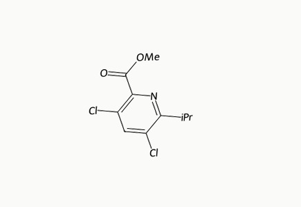 COC(=O)c1nc(C(C)C)c(Cl)cc1Cl